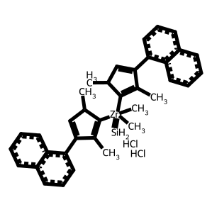 CC1=[C]([Zr]([CH3])([CH3])(=[SiH2])[C]2=C(C)C(c3cccc4ccccc34)=CC2C)C(C)C=C1c1cccc2ccccc12.Cl.Cl